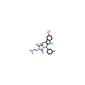 COc1ccc2[nH]c3c(c2c1)C[C@@]1(C)C(=O)N(CCN(C)C)C(=O)N1C3c1cccc(C)c1